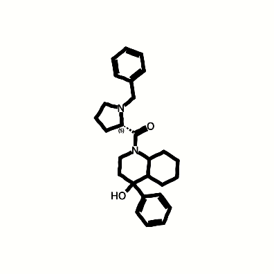 O=C([C@@H]1CCCN1Cc1ccccc1)N1CCC(O)(c2ccccc2)C2CCCCC21